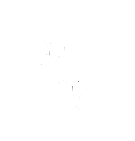 COc1cc(C(=O)/C(C)=C/c2cc(OC)c(OC)c(OC)c2OC)ccc1N